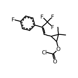 CC1(C)C(C=C(c2ccc(F)cc2)C(F)(F)F)C1OC(=O)Cl